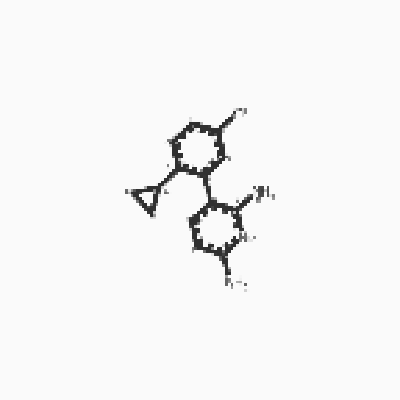 Nc1ccc(-c2cc(Cl)ccc2C2CC2)c(N)n1